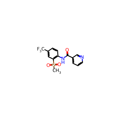 CS(=O)(=O)c1cc(C(F)(F)F)ccc1NC(=O)c1cccnc1